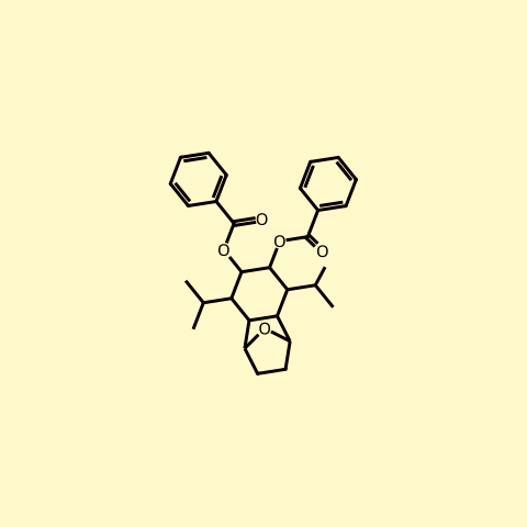 CC(C)C1C(OC(=O)c2ccccc2)C(OC(=O)c2ccccc2)C(C(C)C)C2C3CCC(O3)C12